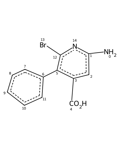 Nc1cc(C(=O)O)c(-c2ccccc2)c(Br)n1